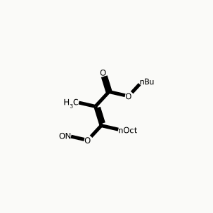 CCCCCCCCC(ON=O)=C(C)C(=O)OCCCC